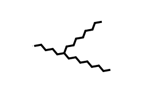 [CH2]CCCCC(CCCCCCCC)CCCCCCCC